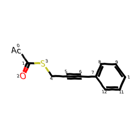 CC(=O)C(=O)SCC#Cc1ccccc1